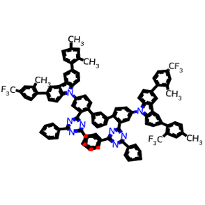 Cc1ccc(-c2ccc3c(c2)c2cc(-c4ccc(C(F)(F)F)cc4C)ccc2n3-c2ccc(-c3cccc(-c4ccc(-n5c6ccc(-c7ccc(C(F)(F)F)cc7C)cc6c6cc(-c7ccc(C)cc7C(F)(F)F)ccc65)cc4-c4nc(-c5ccccc5)nc(-c5ccccc5)n4)c3)c(-c3nc(-c4ccccc4)nc(-c4ccccc4)n3)c2)c(C)c1